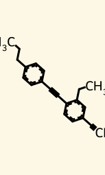 C#Cc1ccc(C#Cc2ccc(CCC)cc2)c(CC)c1